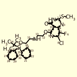 CSc1nc2c(F)c(Cl)nc(OCCNCCO[Si](c3ccccc3)(c3ccccc3)C(C)(C)C)c2c(=O)[nH]1